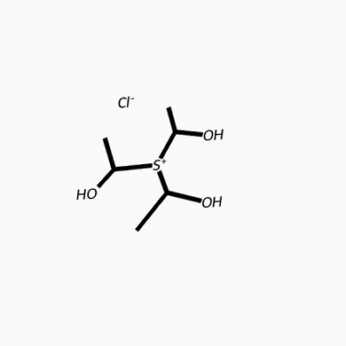 CC(O)[S+](C(C)O)C(C)O.[Cl-]